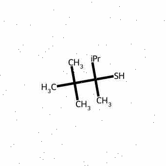 CC(C)C(C)(S)C(C)(C)C